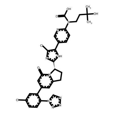 CC(C)(O)CCN(C(=O)O)c1ccc(-c2[nH]c([C@@H]3CCc4cc(-c5cc(Cl)ccc5-n5cnnn5)cc(=O)n43)nc2Cl)cn1